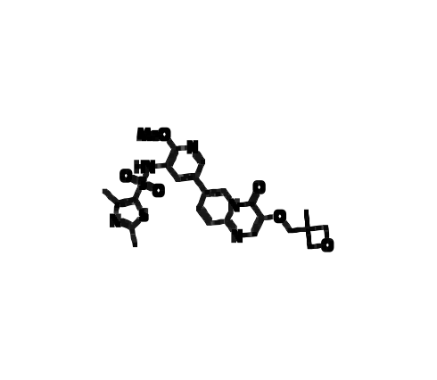 COc1ncc(-c2ccc3ncc(OCC4(C)COC4)c(=O)n3c2)cc1NS(=O)(=O)c1sc(C)nc1C